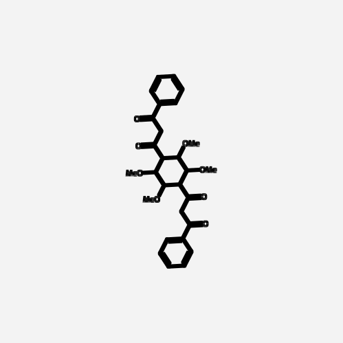 COC1C(OC)C(C(=O)CC(=O)c2ccccc2)C(OC)C(OC)C1C(=O)CC(=O)c1ccccc1